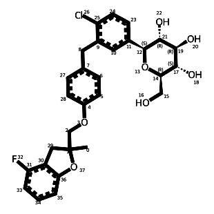 CC1(COc2ccc(Cc3cc([C@@H]4O[C@H](CO)[C@@H](O)[C@H](O)[C@H]4O)ccc3Cl)cc2)Cc2c(F)cccc2O1